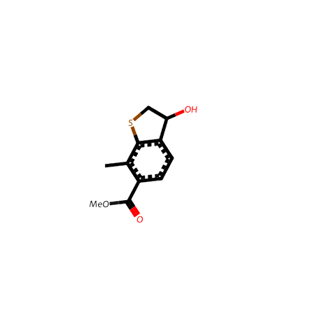 COC(=O)c1ccc2c(c1C)SCC2O